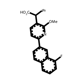 COc1nc(-c2ccc3cccc(F)c3c2)ccc1C(C(=O)O)C(C)C